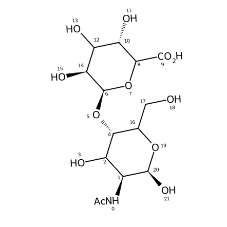 CC(=O)N[C@H]1C(O)[C@H](O[C@@H]2OC(C(=O)O)[C@@H](O)C(O)[C@@H]2O)C(CO)O[C@H]1O